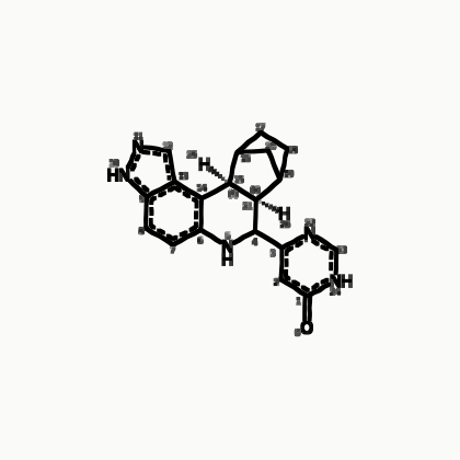 O=c1cc(C2Nc3ccc4[nH]ncc4c3[C@H]3C4CCC(C4)[C@@H]23)nc[nH]1